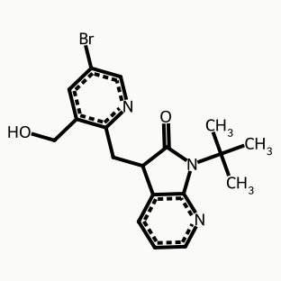 CC(C)(C)N1C(=O)C(Cc2ncc(Br)cc2CO)c2cccnc21